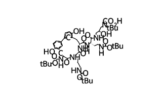 CC(C)(C)OC(=O)NCCC[C@@H]1NC(=O)[C@@H](NC(=O)OC(C)(C)C)Cc2cc(ccc2O)-c2ccc(O)c(c2)C[C@@H](C(=O)N[C@@H](CCNC(=O)OC(C)(C)C)C(=O)NCC(O)CN(C(=O)O)C(C)(C)C)NC1=O